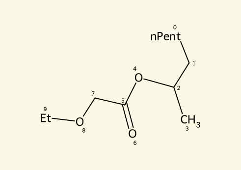 CCCCCCC(C)OC(=O)COCC